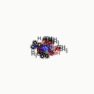 CC(C)(C)OC(=O)CC[C@H](NC(=O)[C@H](CSC(c1ccccc1)(c1ccccc1)c1ccccc1)NC(=O)[C@H](CCC(=O)OC(C)(C)C)NC(=O)[C@H](CC(=O)OC(C)(C)C)NC(=O)[C@H](CC(=O)NC(c1ccccc1)(c1ccccc1)c1ccccc1)NC(=O)OC(C)(C)C)C(=O)O